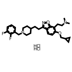 CN(C)CCc1c(OCC2CC2)ccc2c(CCC3CCN(Cc4cccc(F)c4F)CC3)noc12.Cl.Cl